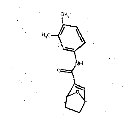 Cc1ccc(NC(=O)C2=CC3CCC2O3)cc1C